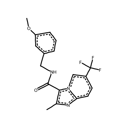 COc1cccc(CNC(=O)c2c(C)nc3ccc(C(F)(F)F)cn23)c1